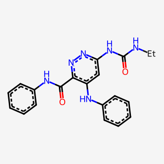 CCNC(=O)Nc1cc(Nc2ccccc2)c(C(=O)Nc2ccccc2)nn1